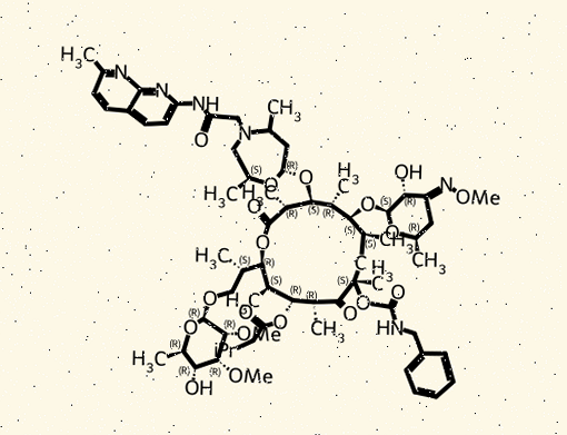 CON=C1C[C@@H](C)O[C@@H](O[C@@H]2[C@@H](C)[C@H](O[C@H]3CC(C)N(CC(=O)Nc4ccc5ccc(C)nc5n4)C[C@H](C)O3)[C@@H](C)C(=O)O[C@H]([C@@H](C)CO[C@@H]3O[C@H](C)[C@@H](O)[C@@H](OC)[C@H]3OC)[C@H](C)[C@@H](OC(=O)CC(C)C)[C@@H](C)C(=O)[C@@](C)(OC(=O)NCc3ccccc3)C[C@@H]2C)[C@@H]1O